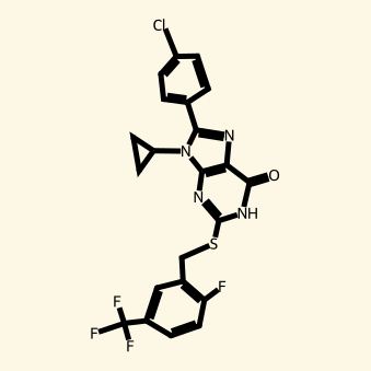 O=c1[nH]c(SCc2cc(C(F)(F)F)ccc2F)nc2c1nc(-c1ccc(Cl)cc1)n2C1CC1